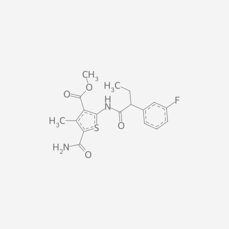 CCC(C(=O)Nc1sc(C(N)=O)c(C)c1C(=O)OC)c1cccc(F)c1